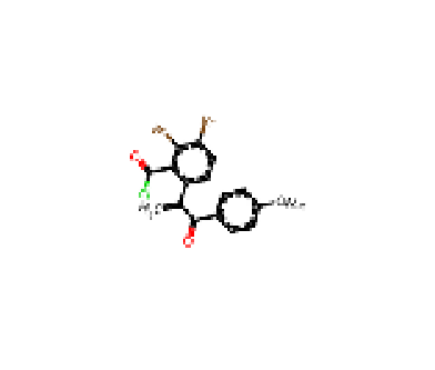 C=C(C(=O)c1ccc(OC)cc1)c1ccc(Br)c(Br)c1C(=O)Cl